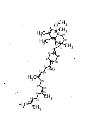 COC1(C)C=C(C)C(C)=C2OC(C)(CCN3CCN(C(=O)CCC=C(C)CCC=C(C)CCC=C(C)C)CC3)CCC21